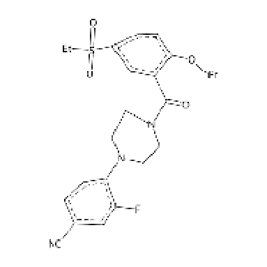 CCS(=O)(=O)c1ccc(OC(C)C)c(C(=O)N2CCN(c3ccc(C#N)cc3F)CC2)c1